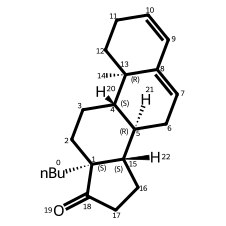 CCCC[C@]12CC[C@H]3[C@@H](CC=C4C=CCC[C@@]43C)[C@@H]1CCC2=O